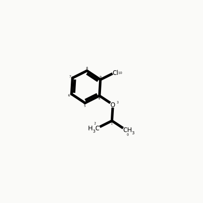 CC(C)Oc1ccccc1Cl